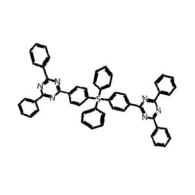 c1ccc(-c2nc(-c3ccccc3)nc(-c3ccc(S(c4ccccc4)(c4ccccc4)c4ccc(-c5nc(-c6ccccc6)nc(-c6ccccc6)n5)cc4)cc3)n2)cc1